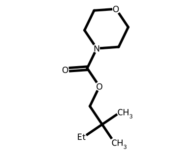 CCC(C)(C)COC(=O)N1CCOCC1